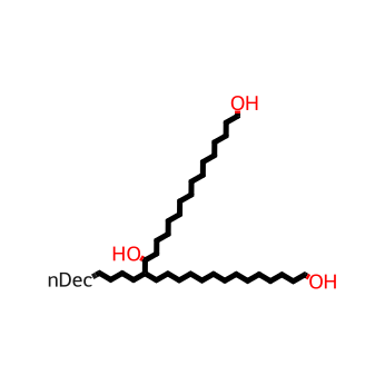 CCCCCCCCCCCCCCC(CCCCCCCCCCCCCCO)C(O)CCCCCCCCCCCCCCCO